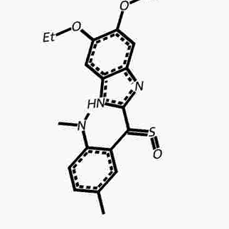 CCOc1cc2nc(C(=S=O)c3cc(C)ccc3N(C)C)[nH]c2cc1OCC